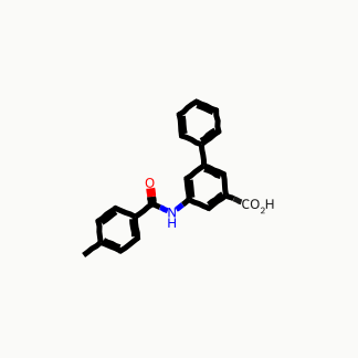 Cc1ccc(C(=O)Nc2cc(C(=O)O)cc(-c3ccccc3)c2)cc1